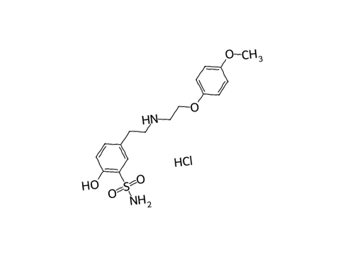 COc1ccc(OCCNCCc2ccc(O)c(S(N)(=O)=O)c2)cc1.Cl